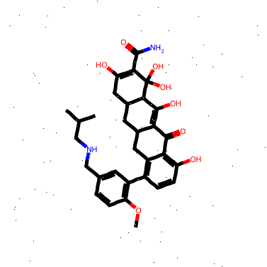 COc1ccc(CNCC(C)C)cc1-c1ccc(O)c2c1CC1CC3CC(O)=C(C(N)=O)C(O)(O)C3C(O)=C1C2=O